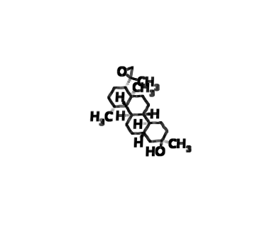 C[C@@H]1CC[C@H](C2(C)CO2)[C@@]2(C)CC[C@H]3[C@@H](CC[C@H]4C[C@](C)(O)CC[C@@H]43)[C@H]12